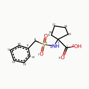 O=C(O)C1(NS(=O)(=O)Cc2ccccc2)CCCC1